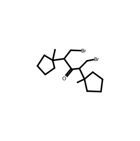 CC1(C(CBr)C(=O)C(CBr)C2(C)CCCC2)CCCC1